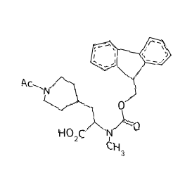 CC(=O)N1CCC(CC(C(=O)O)N(C)C(=O)OCC2c3ccccc3-c3ccccc32)CC1